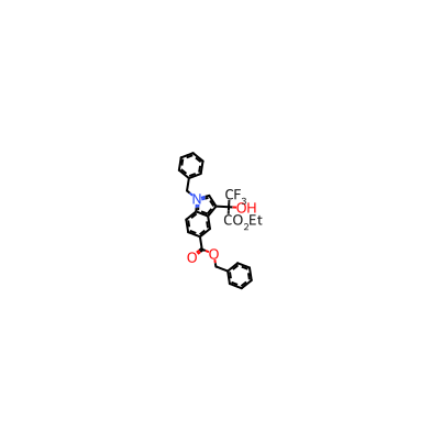 CCOC(=O)C(O)(c1cn(Cc2ccccc2)c2ccc(C(=O)OCc3ccccc3)cc12)C(F)(F)F